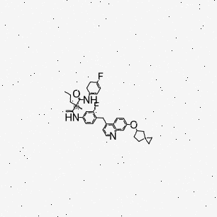 C=C(Nc1ccc(Cc2ccnc3cc(OC4CCC5(CC5)C4)ccc23)c(F)c1)[C@](C)(CCC)C(=O)NC1=CC=C(F)CC1